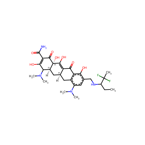 CCC(NCc1cc(N(C)C)c2c(c1O)C(=O)C1=C(O)[C@]3(O)C(=O)C(C(N)=O)=C(O)C(N(C)C)[C@@H]3C[C@@H]1C2)C(C)(F)F